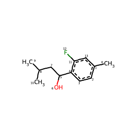 Cc1ccc(C(O)CC(C)C)c(F)c1